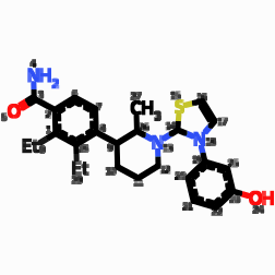 CCc1c(C(N)=O)ccc(C2CCCN(C3SC=CN3c3cccc(O)c3)C2C)c1CC